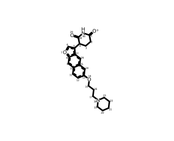 O=C1CCC(c2coc3cc4ccc(OCCCN5CCCCC5)cc4cc23)C(=O)N1